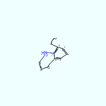 C[CH]c1cccc2c1NC=CC2